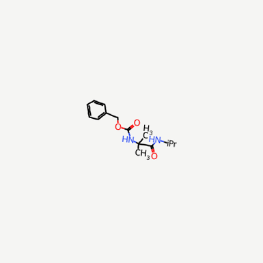 CC(C)NC(=O)C(C)(C)NC(=O)OCc1ccccc1